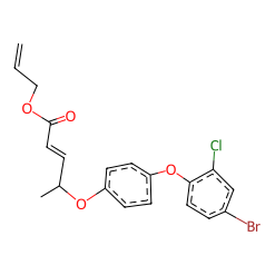 C=CCOC(=O)C=CC(C)Oc1ccc(Oc2ccc(Br)cc2Cl)cc1